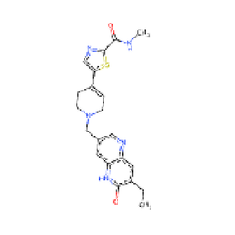 CCc1cc2ncc(CN3CC=C(c4cnc(C(=O)NC)s4)CC3)cc2[nH]c1=O